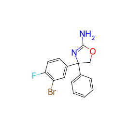 NC1=NC(c2ccccc2)(c2ccc(F)c(Br)c2)CO1